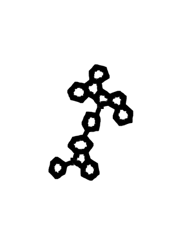 c1ccc(-n2c3ccccc3c3cc(-c4ccc(-n5c6c7ccccc7ccc6c6c7ccccc7c7ccccc7c65)cc4)ccc32)cc1